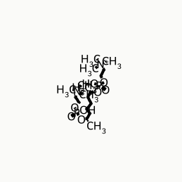 C[C@H](CCCC[C@H](C)OP(=O)(O)OCC[N+](C)(C)C)OP(=O)(O)OCC[N+](C)(C)C